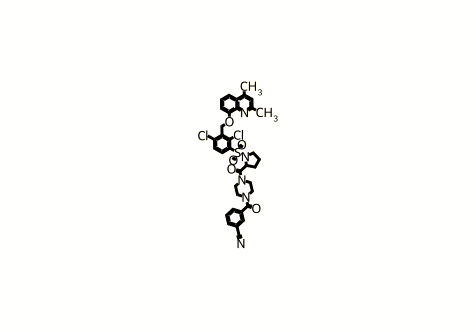 Cc1cc(C)c2cccc(OCc3c(Cl)ccc(S(=O)(=O)N4CCCC4C(=O)N4CCN(C(=O)c5cccc(C#N)c5)CC4)c3Cl)c2n1